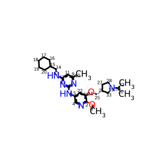 COc1ncc(Nc2nc(C)cc(NCC3CCCCC3)n2)cc1OC[C@@H]1CCN(C(C)C)C1